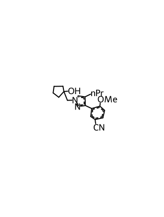 CCCc1cn(CC2(O)CCCC2)nc1-c1cc(C#N)ccc1OC